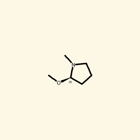 CO[C@@H]1CCCN1C